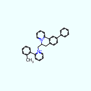 Cc1ccccc1-c1cccc[n+]1CC1Cc2ccc(-c3ccccc3)cc2-c2cccc[n+]21